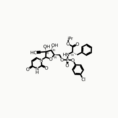 C#C[C@]1(O)C(n2ccc(=O)[nH]c2=O)O[C@H](COP(=O)(N[C@@H](Cc2ccccc2)C(=O)OC(C)C)Oc2ccc(Cl)cc2)[C@H]1O